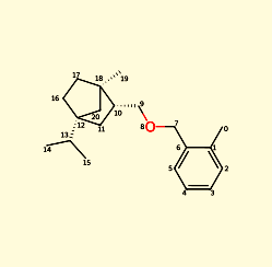 Cc1ccccc1COC[C@@H]1C[C@@]2(C(C)C)CC[C@]1(C)C2